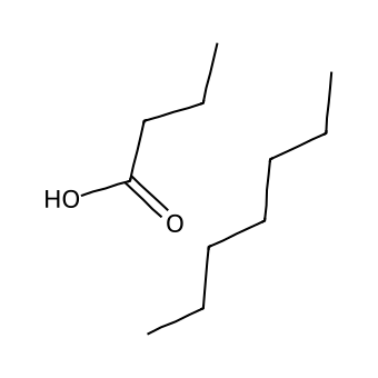 CCCC(=O)O.CCCCCCC